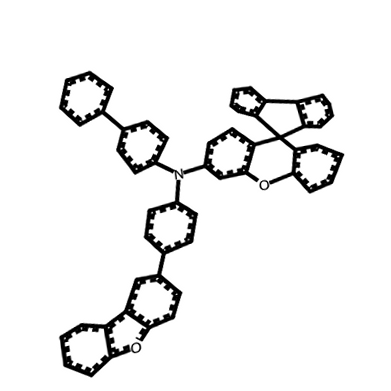 c1ccc(-c2ccc(N(c3ccc(-c4ccc5oc6ccccc6c5c4)cc3)c3ccc4c(c3)Oc3ccccc3C43c4ccccc4-c4ccccc43)cc2)cc1